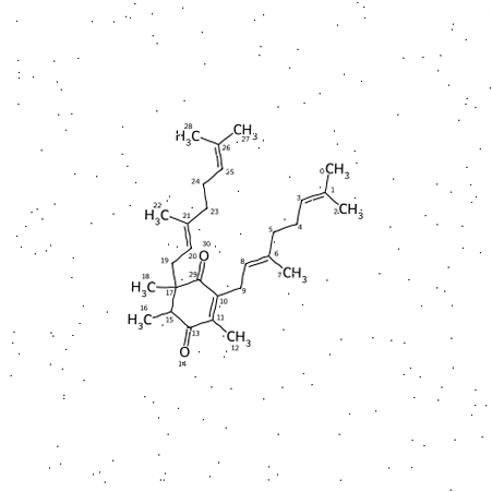 CC(C)=CCC/C(C)=C/CC1=C(C)C(=O)C(C)C(C)(C/C=C(\C)CCC=C(C)C)C1=O